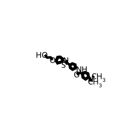 CN(C)c1ccc(C(=O)Nc2ccc(-c3nc4ccc(OCCO)cc4s3)cc2)cc1